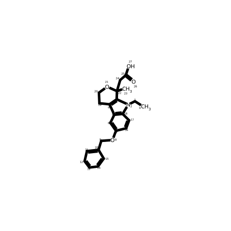 CCn1c2c(c3cc(OCc4ccccc4)ccc31)CCOC2(C)CC(=O)O